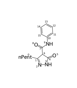 CCCCCC1=NNC(=O)C1C(=O)Nc1ccccc1